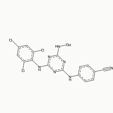 N#Cc1ccc(Nc2nc(NO)nc(Nc3c(Cl)cc(Cl)cc3Cl)n2)cc1